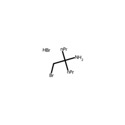 Br.CCCC(N)(CBr)CCC